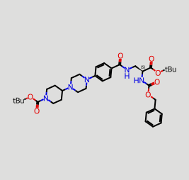 CC(C)(C)OC(=O)[C@H](CNC(=O)c1ccc(N2CCN(C3CCN(C(=O)OC(C)(C)C)CC3)CC2)cc1)NC(=O)OCc1ccccc1